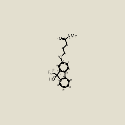 CNC(=O)CCCOc1ccc2c(c1)C(O)(C(F)(F)F)c1ccccc1-2